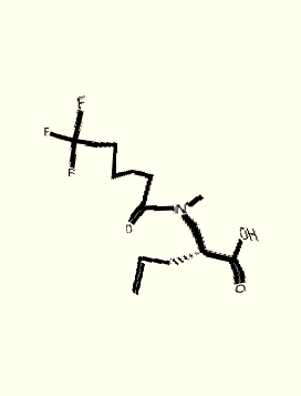 C=CC[C@@H](C(=O)O)N(C)C(=O)CCCC(F)(F)F